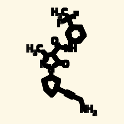 CC1=NN(c2cccc(C#CCN)c2)C(=O)C1C(=O)Nc1cccc(C(C)(F)F)c1